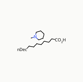 CCCCCCCCCCCCCCCCCC(=O)O.CN1CCCCC1